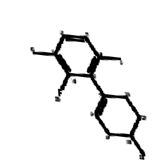 Cc1ccc(C)c(C2=CCC(C)CC2)c1F